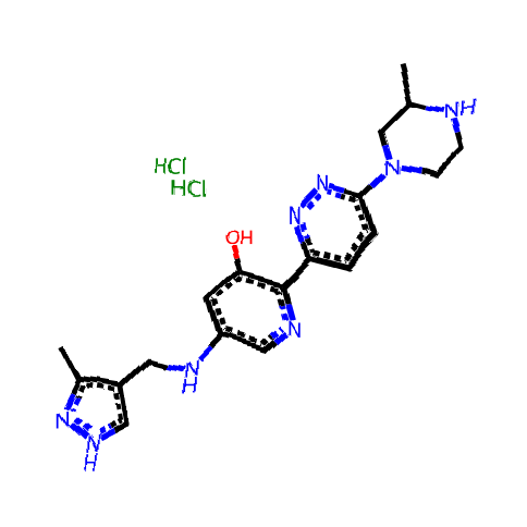 Cc1n[nH]cc1CNc1cnc(-c2ccc(N3CCNC(C)C3)nn2)c(O)c1.Cl.Cl